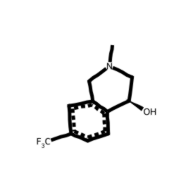 CN1Cc2cc(C(F)(F)F)ccc2[C@H](O)C1